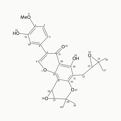 COc1ccc(-c2coc3c4c(c(CC5OC5(C)C)c(O)c3c2=O)OC(C)(C)C2OC42)cc1O